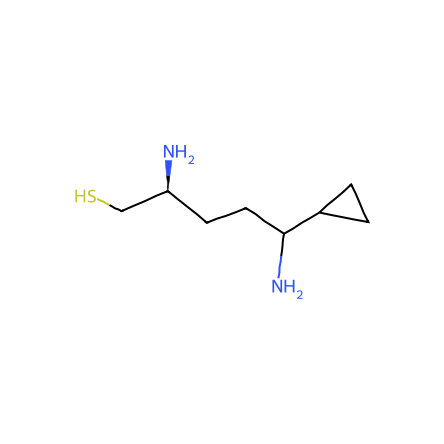 NC(CC[C@H](N)CS)C1CC1